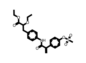 C=C(C(=O)Nc1ccc(CC(OCC)C(=O)OCC)cc1)c1ccc(OS(C)(=O)=O)cc1